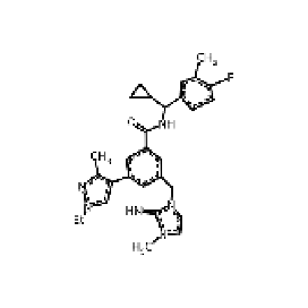 CCn1cc(-c2cc(Cn3ccn(C)c3=N)cc(C(=O)NC(c3ccc(F)c(C)c3)C3CC3)c2)c(C)n1